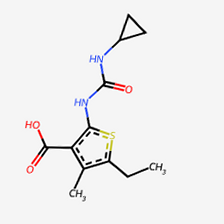 CCc1sc(NC(=O)NC2CC2)c(C(=O)O)c1C